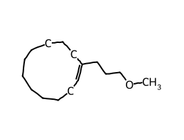 COCCCC1=CCCCCCCCCCC1